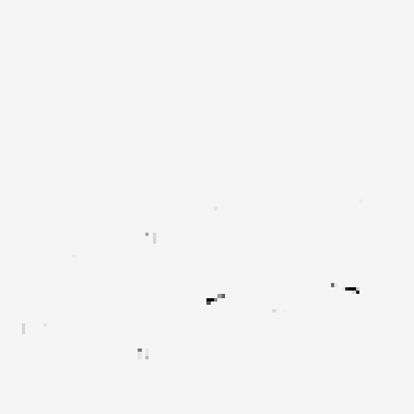 COC1C(O)[C@H](n2cnc3c(N)nc(C#CCO)nc32)O[C@@H]1CO